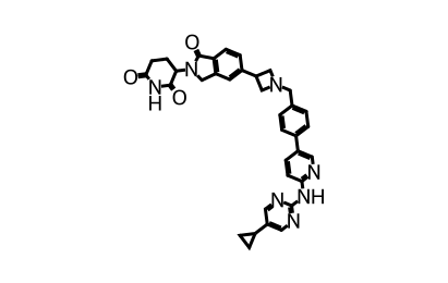 O=C1CCC(N2Cc3cc(C4CN(Cc5ccc(-c6ccc(Nc7ncc(C8CC8)cn7)nc6)cc5)C4)ccc3C2=O)C(=O)N1